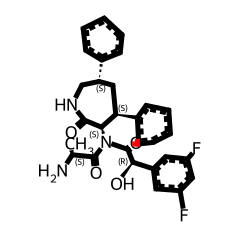 C[C@H](N)C(=O)N(C(=O)[C@H](O)c1cc(F)cc(F)c1)[C@@H]1C(=O)NC[C@H](c2ccccc2)C[C@H]1c1ccccc1